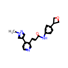 Cn1cc(-c2ccncc2C=CC(=O)Nc2ccc(C3COC3)cc2)cn1